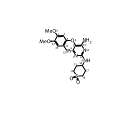 COc1cc(Oc2cnc(NC3CCS(=O)(=O)CC3)nc2N)c(C(C)C)cc1OC